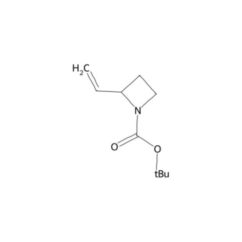 C=CC1CCN1C(=O)OC(C)(C)C